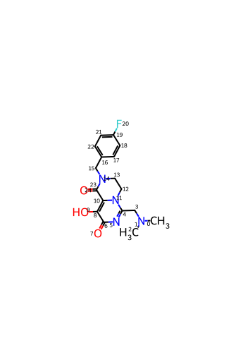 CN(C)Cc1nc(=O)c(O)c2n1CCN(Cc1ccc(F)cc1)C2=O